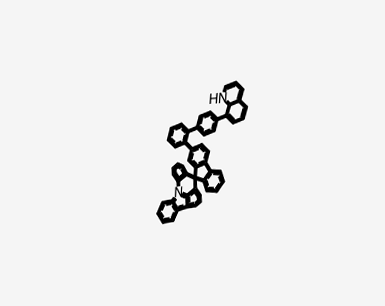 C1=CNC2C(=C1)C=CC=C2c1ccc(-c2ccccc2-c2ccc3c(c2)C2(c4ccccc4-3)c3ccccc3-n3c4ccccc4c4cccc2c43)cc1